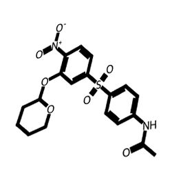 CC(=O)Nc1ccc(S(=O)(=O)c2ccc([N+](=O)[O-])c(OC3CCCCO3)c2)cc1